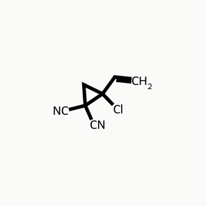 C=CC1(Cl)CC1(C#N)C#N